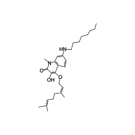 CCCCCCCCNc1ccc2c(OCC=C(C)CCC=C(C)C)c(O)c(=O)n(C)c2c1